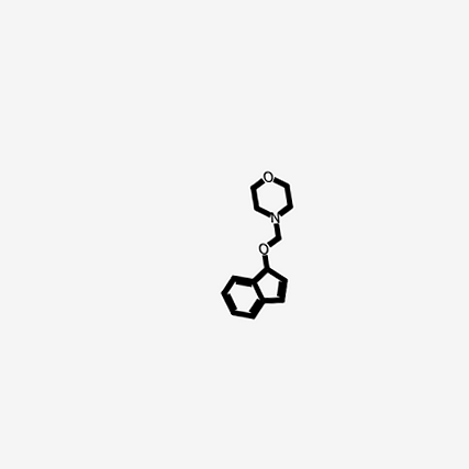 C1=CC(OCN2CCOCC2)c2ccccc21